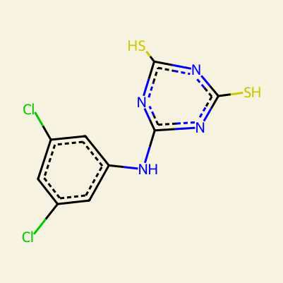 Sc1nc(S)nc(Nc2cc(Cl)cc(Cl)c2)n1